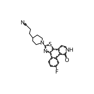 N#CCCC1CCN(c2nc3c4ccc(F)cc4c4c(=O)[nH]ccc4c3s2)CC1